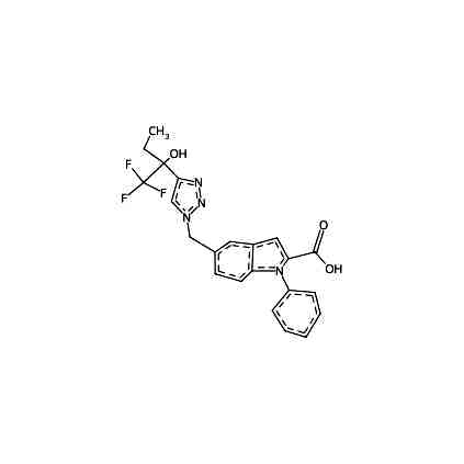 CCC(O)(c1cn(Cc2ccc3c(c2)cc(C(=O)O)n3-c2ccccc2)nn1)C(F)(F)F